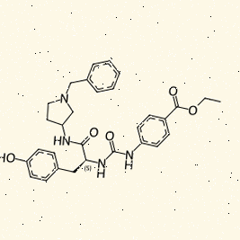 CCOC(=O)c1ccc(NC(=O)N[C@@H](Cc2ccc(O)cc2)C(=O)NC2CCN(Cc3ccccc3)C2)cc1